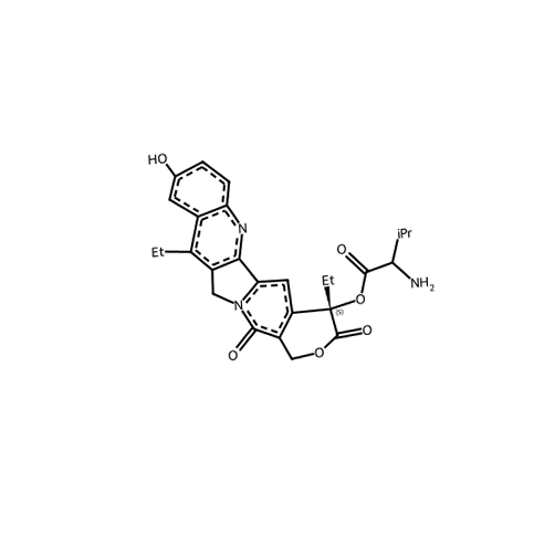 CCc1c2c(nc3ccc(O)cc13)-c1cc3c(c(=O)n1C2)COC(=O)[C@@]3(CC)OC(=O)C(N)C(C)C